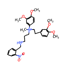 COc1ccc(CC[N+](C)(CCCNCc2ccccc2[N+](=O)[O-])c2ccc(OC)c(OC)c2)cc1OC